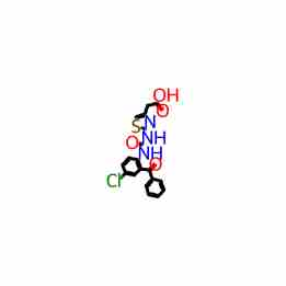 O=C(O)Cc1csc(NC(=O)Nc2ccc(Cl)cc2C(=O)c2ccccc2)n1